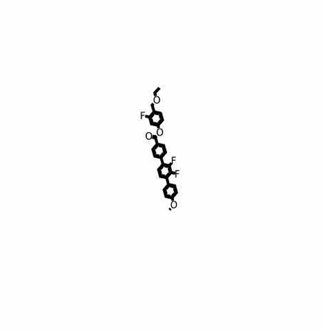 CCOCc1ccc(OC(=O)c2ccc(-c3ccc(-c4ccc(OC)cc4)c(F)c3F)cc2)cc1F